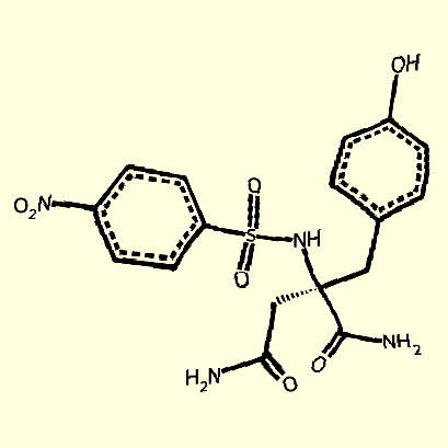 NC(=O)C[C@@](Cc1ccc(O)cc1)(NS(=O)(=O)c1ccc([N+](=O)[O-])cc1)C(N)=O